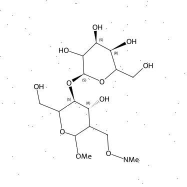 CNOCC1C(OC)OC(CO)[C@@H](O[C@@H]2OC(CO)[C@H](O)[C@H](O)C2O)[C@@H]1O